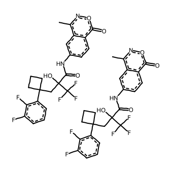 Cc1noc(=O)c2ccc(NC(=O)C(O)(CC3(c4cccc(F)c4F)CCC3)C(F)(F)F)cc12.Cc1noc(=O)c2ccc(NC(=O)C(O)(CC3(c4cccc(F)c4F)CCC3)C(F)(F)F)cc12